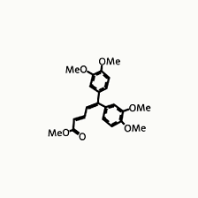 COC(=O)C=CC=C(c1ccc(OC)c(OC)c1)c1ccc(OC)c(OC)c1